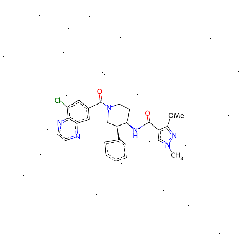 COc1nn(C)cc1C(=O)N[C@@H]1CCN(C(=O)c2cc(Cl)c3nccnc3c2)C[C@@H]1c1ccccc1